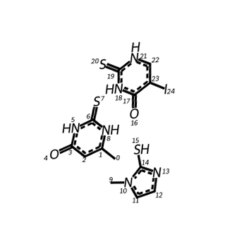 Cc1cc(=O)[nH]c(=S)[nH]1.Cn1ccnc1S.O=c1[nH]c(=S)[nH]cc1I